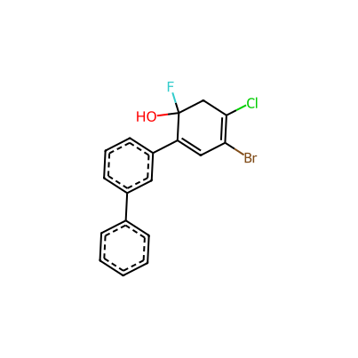 OC1(F)CC(Cl)=C(Br)C=C1c1cccc(-c2ccccc2)c1